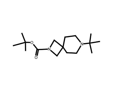 CC(C)(C)OC(=O)N1CC2(CCN(C(C)(C)C)CC2)C1